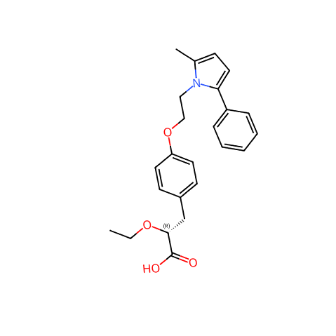 CCO[C@H](Cc1ccc(OCCn2c(C)ccc2-c2ccccc2)cc1)C(=O)O